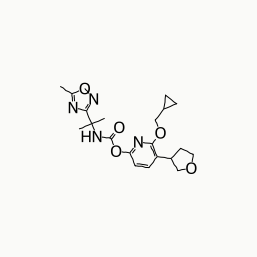 Cc1nc(C(C)(C)NC(=O)Oc2ccc(C3CCOC3)c(OCC3CC3)n2)no1